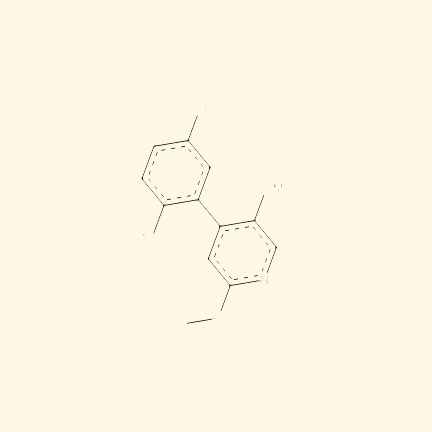 COc1cnc(OI)cc1-c1cc(Cl)ccc1C(C)=O